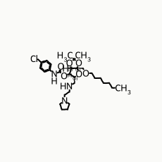 CCCCCCCOC[C@@]12O[C@@H](CNCCN3CCCC3)[C@@H](OC(=O)Nc3ccc(Cl)cc3)[C@@H]1OC(C)(C)O2